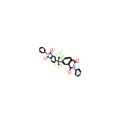 O=C1c2ccc(C(c3ccc4c(c3)C(=O)N(c3ccccc3)C4=O)(C(F)(F)F)C(F)(F)F)cc2C(=O)N1c1ccccc1